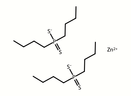 CCCCP(=S)([S-])CCCC.CCCCP(=S)([S-])CCCC.[Zn+2]